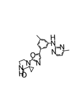 Cc1cc(Nc2nccc(C)n2)cc(-c2cnc(N3CCNC(=O)C34CC4)o2)c1